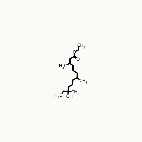 CCOC(=O)C=C(C)C=CCC(C)CCCC(C)(O)CC